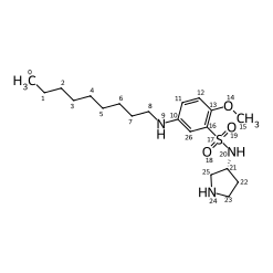 CCCCCCCCCNc1ccc(OC)c(S(=O)(=O)N[C@@H]2CCNC2)c1